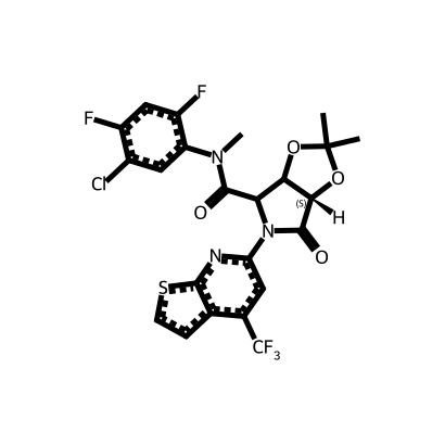 CN(C(=O)C1C2OC(C)(C)O[C@@H]2C(=O)N1c1cc(C(F)(F)F)c2ccsc2n1)c1cc(Cl)c(F)cc1F